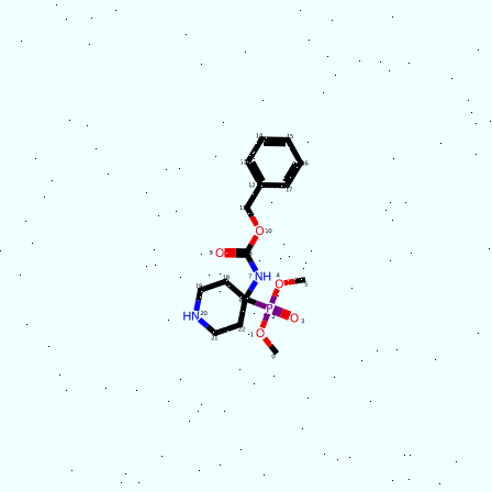 COP(=O)(OC)C1(NC(=O)OCc2ccccc2)CCNCC1